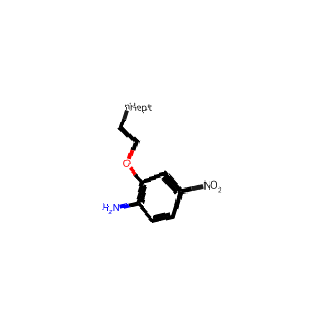 CCCCCCCCCOc1cc([N+](=O)[O-])ccc1N